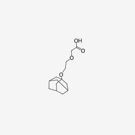 O=C(O)COCCOC12CC3CC(CC(C3)C1)C2